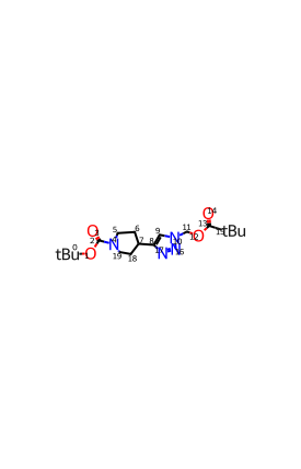 CC(C)(C)OC(=O)N1CCC(c2cn(COC(=O)C(C)(C)C)nn2)CC1